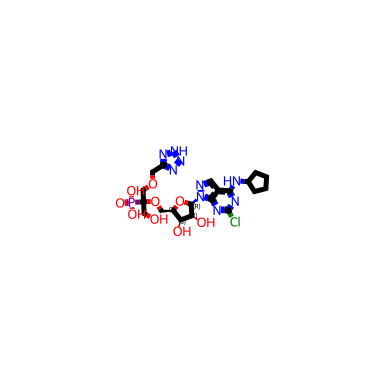 O=P(O)(O)C(CO)(COCc1nn[nH]n1)OC[C@H]1O[C@@H](n2ncc3c(NC4CCCC4)nc(Cl)nc32)[C@H](O)[C@@H]1O